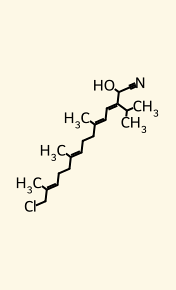 C/C(=C\CC/C(C)=C/CC/C(C)=C/C=C(\C(C)C)C(O)C#N)CCl